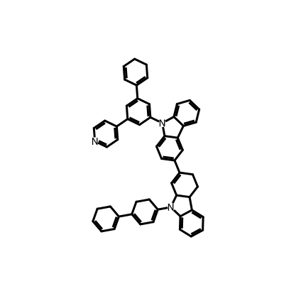 C1=CCCC(C2=CC=C(N3c4ccccc4C4CCC(c5ccc6c(c5)c5ccccc5n6-c5cc(C6=CCCC=C6)cc(-c6ccncc6)c5)=CC43)CC2)=C1